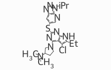 CCc1[nH]c2nc(Sc3cnc4c(c3)nnn4C(C)C)nc(N3CC[C@@H](N(C)C)C3)c2c1Cl